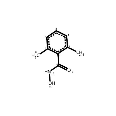 Cc1cccc(C)c1C(=O)NO